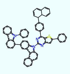 C1=CC2=CC=CC(c3ccc(-c4nc(-n5c6ccc(-c7cccc8c9ccccc9n(-c9ccccc9)c78)cc6c6c7ccccc7ccc65)nc5cc(-c6ccccc6)sc45)cc3)C2C=C1